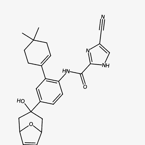 CC1(C)CC=C(c2cc(C3(O)CC4C=CC(C3)O4)ccc2NC(=O)c2nc(C#N)c[nH]2)CC1